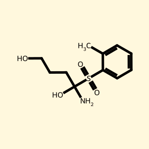 Cc1ccccc1S(=O)(=O)C(N)(O)CCCO